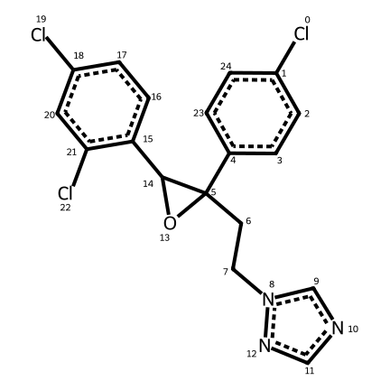 Clc1ccc(C2(CCn3cncn3)OC2c2ccc(Cl)cc2Cl)cc1